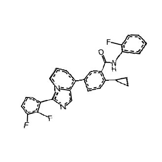 O=C(Nc1ccccc1F)c1cc(-c2cccn3c(-c4cccc(F)c4F)ncc23)ccc1C1CC1